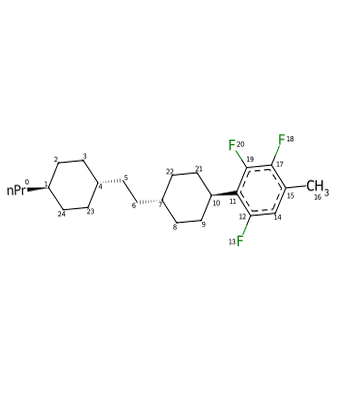 CCC[C@H]1CC[C@H](CC[C@H]2CC[C@H](c3c(F)cc(C)c(F)c3F)CC2)CC1